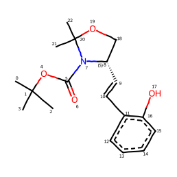 CC(C)(C)OC(=O)N1[C@@H](C=Cc2ccccc2O)COC1(C)C